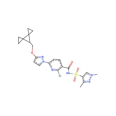 Cc1nn(C)cc1S(=O)(=O)NC(=O)c1ccc(-n2ccc(OCC3C4(CC4)C34CC4)n2)nc1Cl